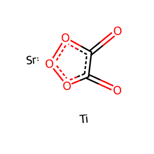 O=c1oooc1=O.[Sr].[Ti]